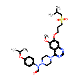 COc1cc2c(N3CCN(N(C=O)c4ccc(OC(C)C)cc4)CC3)ncnc2cc1OCCCS(=O)(=O)CC(C)C